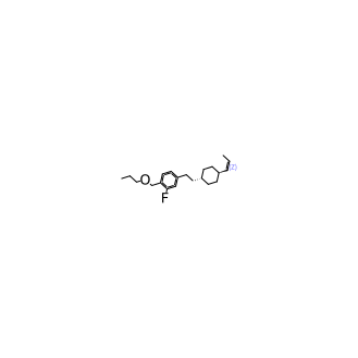 C/C=C\[C@H]1CC[C@H](CCc2ccc(COCCC)c(F)c2)CC1